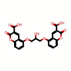 O=C(O)c1cc2c(OCC(O)COc3cccc4oc(=O)c(C(=O)O)cc34)cccc2oc1=O